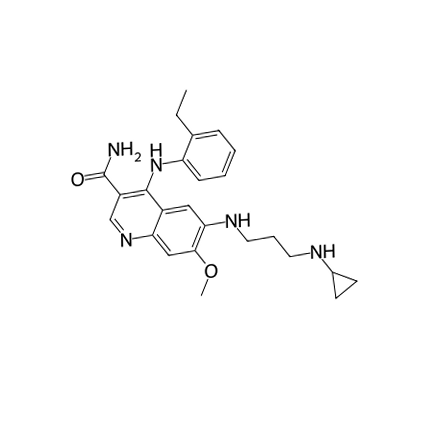 CCc1ccccc1Nc1c(C(N)=O)cnc2cc(OC)c(NCCCNC3CC3)cc12